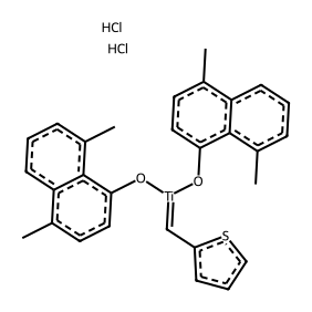 Cc1ccc([O][Ti](=[CH]c2cccs2)[O]c2ccc(C)c3cccc(C)c23)c2c(C)cccc12.Cl.Cl